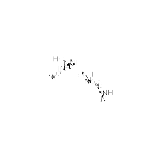 Cc1ncsc1-c1ccc(CNC(=O)[C@@H]2C[C@@H](O)CN2C(=O)[C@@H](NC(=O)CCCCCC(=O)NCCn2ncc3cc(C(=O)Nc4ccc5[nH]c(CN6CCC[C@@H]6C)nc5c4)ccc32)C(C)(C)C)cc1